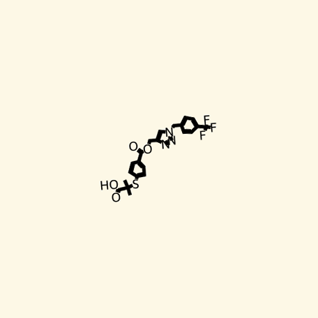 CC(C)(Sc1ccc(C(=O)OCc2cn(Cc3ccc(C(F)(F)F)cc3)nn2)cc1)C(=O)O